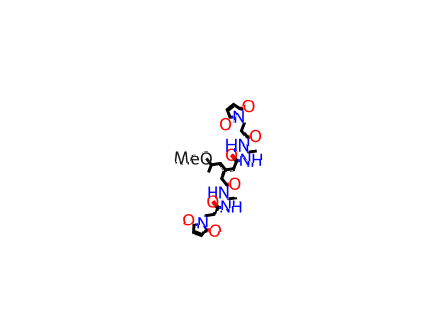 COC(C)CC(CC(=O)NC(C)NC(=O)CCN1C(=O)C=CC1=O)CC(=O)NC(C)NC(=O)CCN1C(=O)C=CC1=O